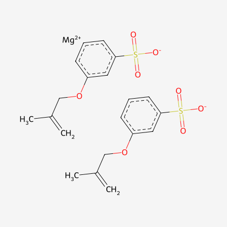 C=C(C)COc1cccc(S(=O)(=O)[O-])c1.C=C(C)COc1cccc(S(=O)(=O)[O-])c1.[Mg+2]